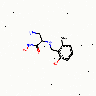 COc1cccc(O)c1CNC(CN)C(=O)NO